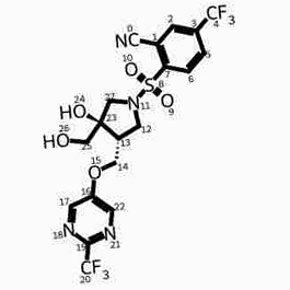 N#Cc1cc(C(F)(F)F)ccc1S(=O)(=O)N1C[C@H](COc2cnc(C(F)(F)F)nc2)[C@](O)(CO)C1